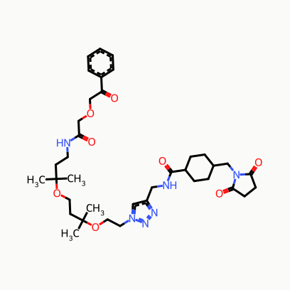 CC(C)(CCNC(=O)COCC(=O)c1ccccc1)OCCC(C)(C)OCCn1cc(CNC(=O)C2CCC(CN3C(=O)CCC3=O)CC2)nn1